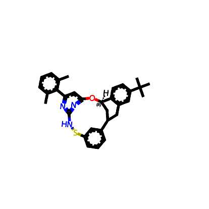 Cc1cccc(C)c1-c1cc2nc(n1)NSc1cccc(c1)C1Cc3cc(C(C)(C)C)ccc3[C@@H](C1)O2